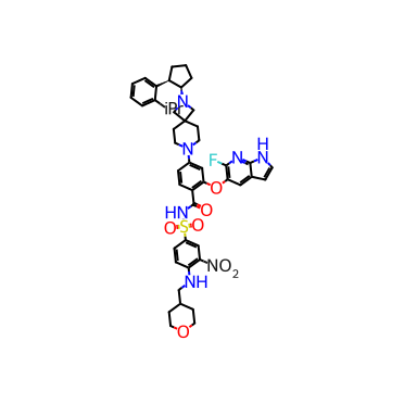 CC(C)c1ccccc1[C@H]1CCC[C@H]1N1CC2(CCN(c3ccc(C(=O)NS(=O)(=O)c4ccc(NCC5CCOCC5)c([N+](=O)[O-])c4)c(Oc4cc5cc[nH]c5nc4F)c3)CC2)C1